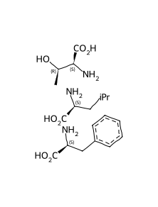 CC(C)C[C@H](N)C(=O)O.C[C@@H](O)[C@H](N)C(=O)O.N[C@@H](Cc1ccccc1)C(=O)O